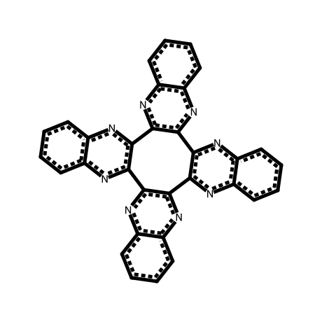 c1ccc2nc3c(nc2c1)-c1nc2ccccc2nc1-c1nc2ccccc2nc1-c1nc2ccccc2nc1-3